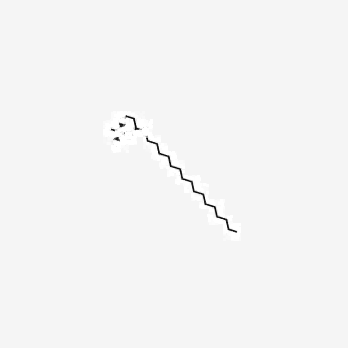 CCCCCCCCCCCCCCCCOC(CC)OS(C)(=O)=O